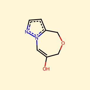 OC1=Cn2nccc2COC1